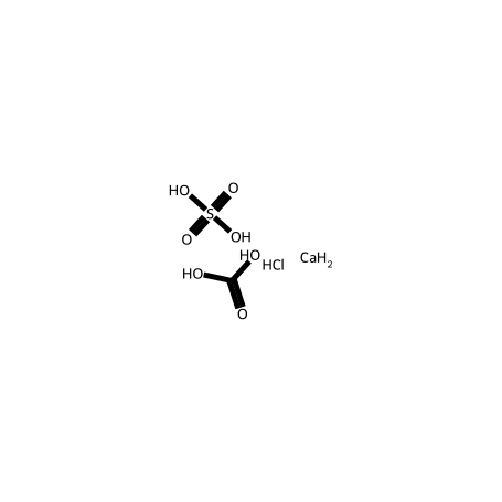 Cl.O=C(O)O.O=S(=O)(O)O.[CaH2]